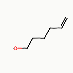 C=CCCCC[O]